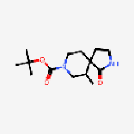 CC1CN(C(=O)OC(C)(C)C)CCC12CCNC2=O